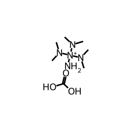 CN(C)[N+](N)(N(C)C)N(C)C.O=C(O)O